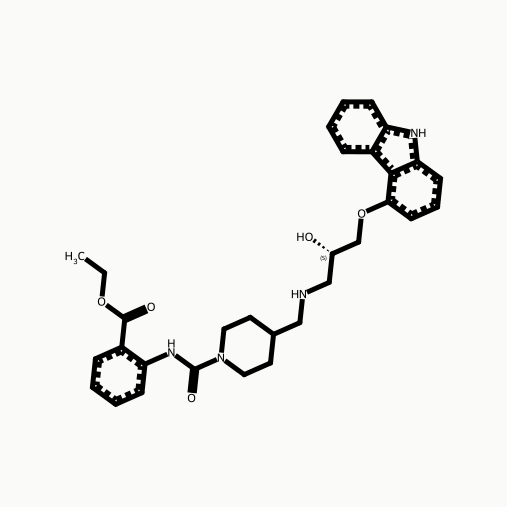 CCOC(=O)c1ccccc1NC(=O)N1CCC(CNC[C@H](O)COc2cccc3[nH]c4ccccc4c23)CC1